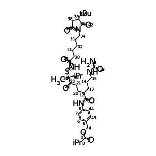 CC(C)C(=O)OCc1ccc(NC(=O)[C@H](CCCNC(N)=O)CCC(=O)[C@](C)(SNC(=O)CCCCCN2C(=O)CC(C(C)(C)C)C2=O)C(C)C)cc1